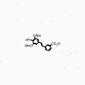 CCCc1c(OC)cc(/C=C/c2cccc(C(=O)O)c2)cc1OC